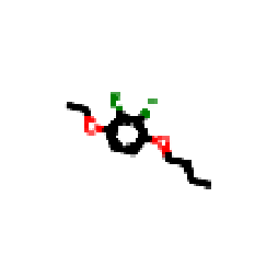 CCCCOc1ccc(OCC)c(F)c1F